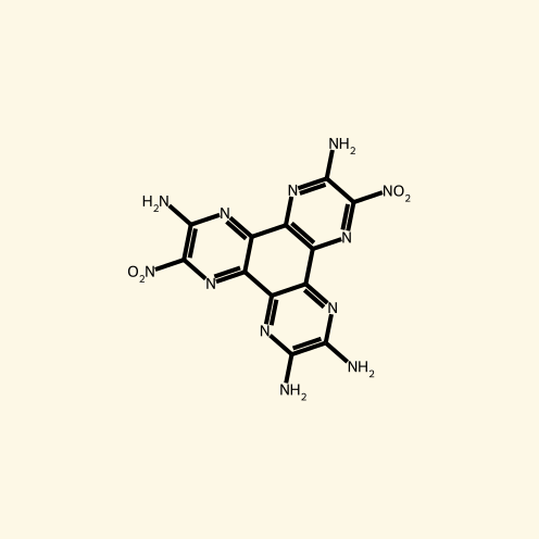 Nc1nc2c(nc1N)c1nc([N+](=O)[O-])c(N)nc1c1nc(N)c([N+](=O)[O-])nc21